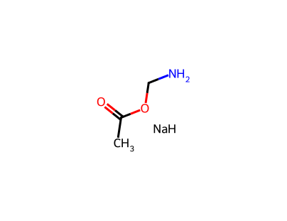 CC(=O)OCN.[NaH]